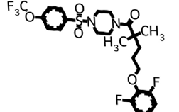 CC(C)(CCCOc1c(F)cccc1F)C(=O)N1CCN(S(=O)(=O)c2ccc(OC(F)(F)F)cc2)CC1